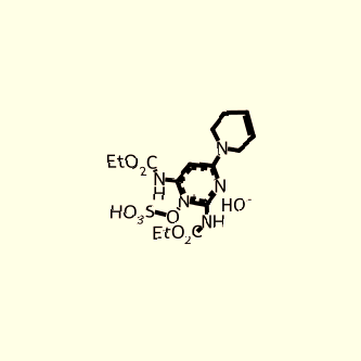 CCOC(=O)Nc1cc(N2CC=CCC2)nc(NC(=O)OCC)[n+]1OS(=O)(=O)O.[OH-]